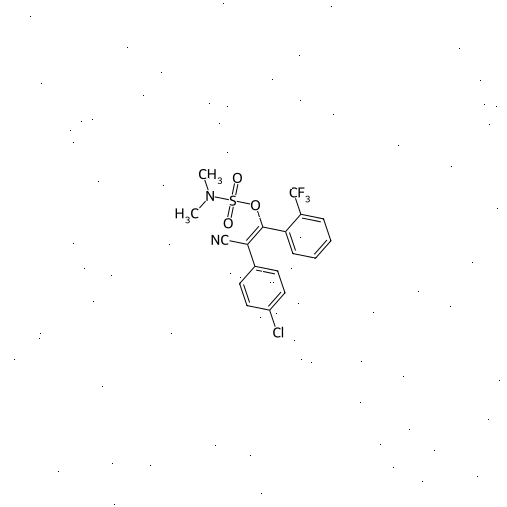 CN(C)S(=O)(=O)O/C(=C(\C#N)c1ccc(Cl)cc1)c1ccccc1C(F)(F)F